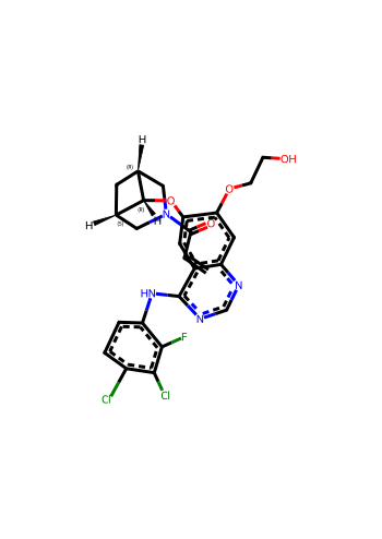 C=CC(=O)N1C[C@H]2C[C@@H](C1)[C@H]2Oc1cc2c(Nc3ccc(Cl)c(Cl)c3F)ncnc2cc1OCCO